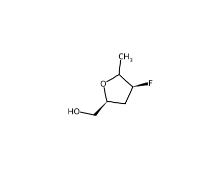 CC1O[C@H](CO)C[C@@H]1F